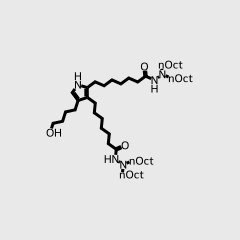 CCCCCCCCN(CCCCCCCC)NC(=O)CCCCCCc1[nH]cc(CCCCO)c1CCCCCCC(=O)NN(CCCCCCCC)CCCCCCCC